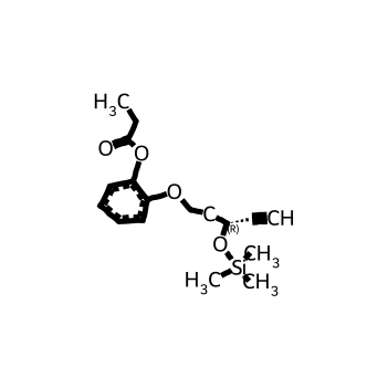 C#C[C@@H](CCOc1ccccc1OC(=O)CC)O[Si](C)(C)C